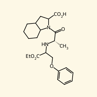 CCOC(=O)C(COc1ccccc1)N[C@@H](C)C(=O)N1C(C(=O)O)CC2CCCCC21